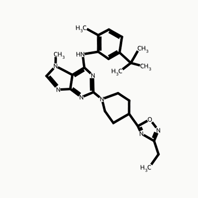 CCc1noc(C2CCN(c3nc(Nc4cc(C(C)(C)C)ccc4C)c4c(ncn4C)n3)CC2)n1